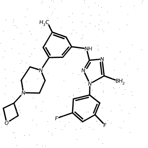 Bc1nc(Nc2cc(C)cc(N3CCN(C4COC4)CC3)c2)nn1-c1cc(F)cc(F)c1